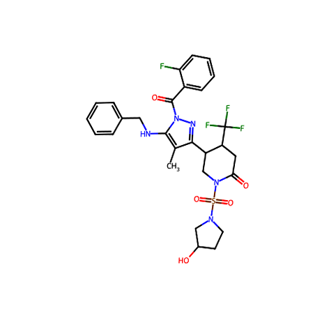 Cc1c(C2CN(S(=O)(=O)N3CCC(O)C3)C(=O)CC2C(F)(F)F)nn(C(=O)c2ccccc2F)c1NCc1ccccc1